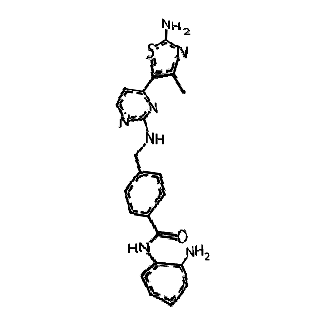 Cc1nc(N)sc1-c1ccnc(NCc2ccc(C(=O)Nc3ccccc3N)cc2)n1